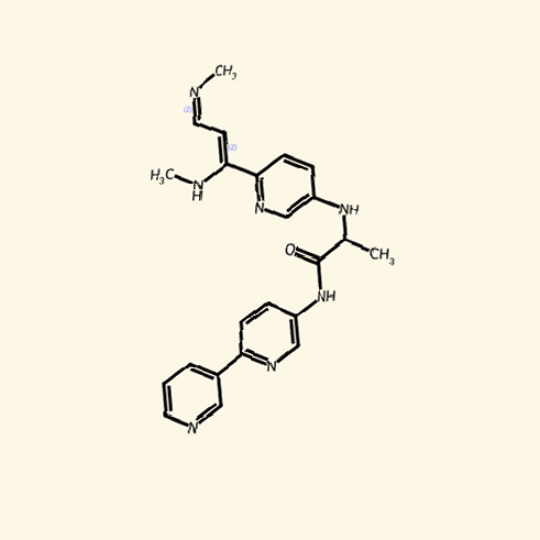 C/N=C\C=C(/NC)c1ccc(NC(C)C(=O)Nc2ccc(-c3cccnc3)nc2)cn1